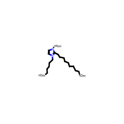 CCCCCCCCCCCCCCCCCCCc1n(CCCCCCCCC)cc[n+]1CCCCCCCCCCCCCCC